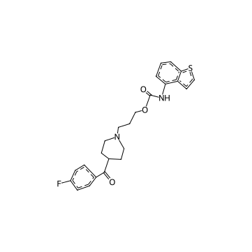 O=C(Nc1cccc2sccc12)OCCCN1CCC(C(=O)c2ccc(F)cc2)CC1